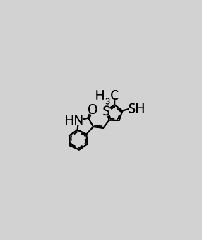 Cc1sc(C=C2C(=O)Nc3ccccc32)cc1S